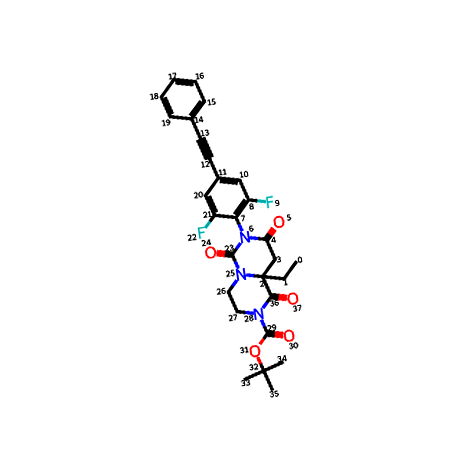 CCC12CC(=O)N(c3c(F)cc(C#Cc4ccccc4)cc3F)C(=O)N1CCN(C(=O)OC(C)(C)C)C2=O